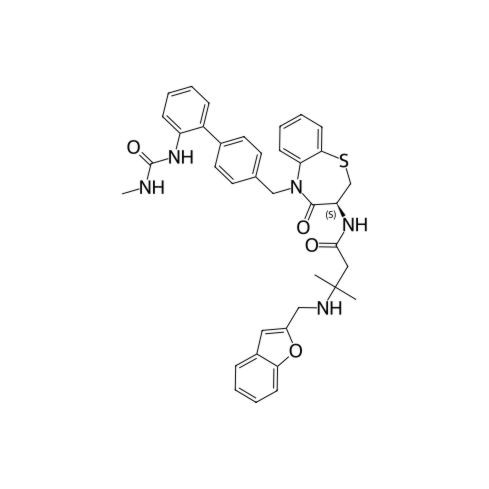 CNC(=O)Nc1ccccc1-c1ccc(CN2C(=O)[C@H](NC(=O)CC(C)(C)NCc3cc4ccccc4o3)CSc3ccccc32)cc1